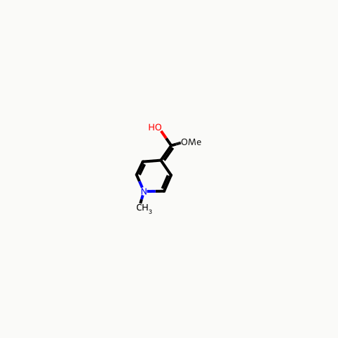 COC(O)=C1C=CN(C)C=C1